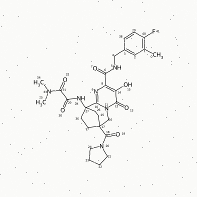 Cc1cc(CNC(=O)c2nc3n(c(=O)c2O)CC2(C(=O)N4CCCC4)CCC3(NC(=O)C(=O)N(C)C)CC2)ccc1F